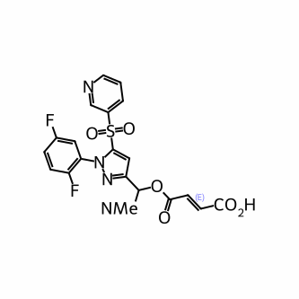 CNC(OC(=O)/C=C/C(=O)O)c1cc(S(=O)(=O)c2cccnc2)n(-c2cc(F)ccc2F)n1